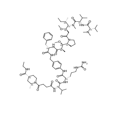 CCNC(=O)[C@@H]1CCN(C(=O)CCC(=O)N[C@H](C(=O)N[C@@H](CCCNC(N)=O)C(=O)Nc2ccc(CNC(=O)[C@H](Cc3ccccc3)NC(=O)[C@H](C)[C@@H](OC)[C@@H]3CCCN3C(=O)C[C@@H](OC)[C@H]([C@@H](C)CC)N(C)C(=O)[C@@H](NC(=O)[C@H](C(C)C)N(C)C)C(C)C)cc2)C(C)C)[C@H](C)C1